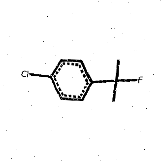 CC(C)(F)c1ccc(Cl)cc1